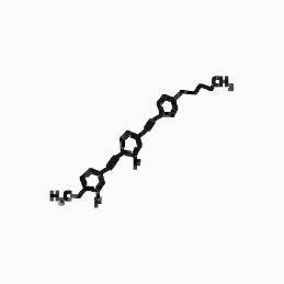 CCCCCc1ccc(C#Cc2ccc(C#Cc3ccc(CC)c(F)c3)c(F)c2)cc1